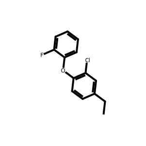 CCc1ccc(Oc2ccccc2F)c(Cl)c1